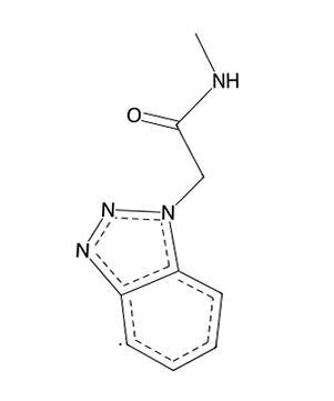 CNC(=O)Cn1nnc2[c]cccc21